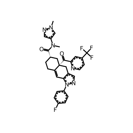 CN(C(=O)[C@H]1CCC2=Cc3c(cnn3-c3ccc(F)cc3)C[C@]2(C(=O)c2cc(C(F)(F)F)ccn2)C1)c1cnn(C)c1